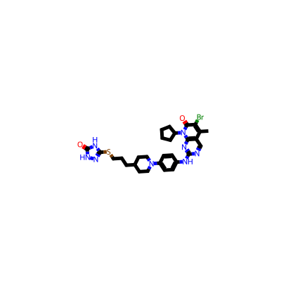 Cc1c(Br)c(=O)n(C2CCCC2)c2nc(Nc3ccc(N4CCC(CCCSc5n[nH]c(=O)[nH]5)CC4)cc3)ncc12